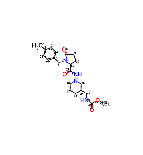 Cc1ccc(CN2C(=O)CCC2C(=O)NN2CCCC(CNC(=O)OC(C)(C)C)C2)cc1